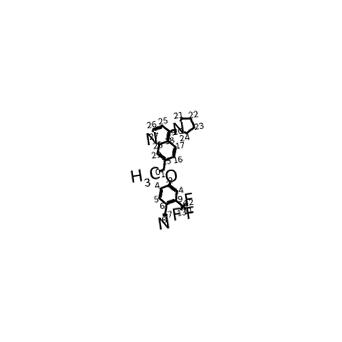 CC(Oc1ccc(C#N)c(C(F)(F)F)c1)c1ccc2c(N3CCCC3)ccnc2c1